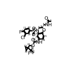 CC(=O)NC[C@H]1CN(S(=O)(=O)c2ccc(F)c(Cl)c2)c2cc(NC(=O)OCC3(C(F)(F)F)CC3)ccc2O1